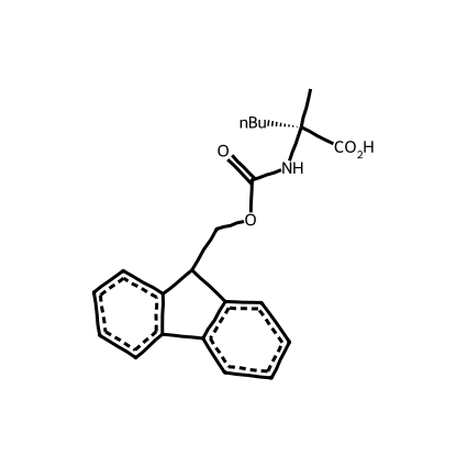 CCCC[C@@](C)(NC(=O)OCC1c2ccccc2-c2ccccc21)C(=O)O